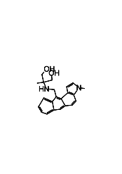 Cn1ccc2c3c(CNC(C)(CO)CO)c4ccccc4cc3ccc21